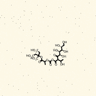 CC(OC(=O)OC(=O)C(C(=O)[C@H](O)[C@@H](O)[C@H](O)[C@H](O)CO)C(C)O)C(=O)OC(CC(=O)O)(CC(=O)O)C(=O)O